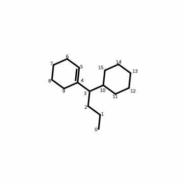 CCCC(C1=CCCCC1)C1CCCCC1